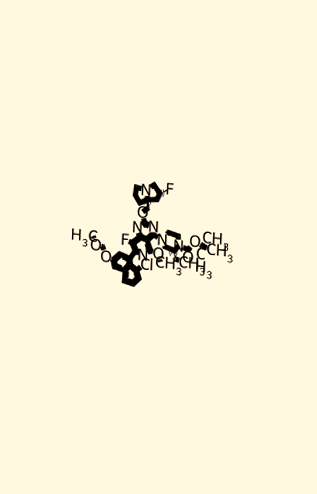 CC[C@@H]1CN(c2nc(OC[C@@]34CCCN3C[C@H](F)C4)nc3c(F)c(-c4cc(OCOC)cc5cccc(Cl)c45)nc(OC)c23)CCN1C(=O)OC(C)(C)C